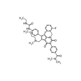 CCNC(=O)Nc1ccc(-c2sc3c(c2CN(C)CCOC)c(=O)n(-c2ccc(C(=O)N(C)C)cc2)c(=O)n3Cc2c(F)cccc2F)cc1